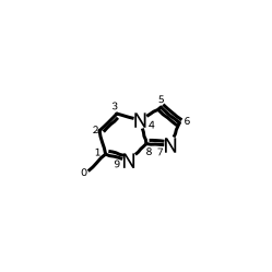 Cc1ccn2c#cnc2n1